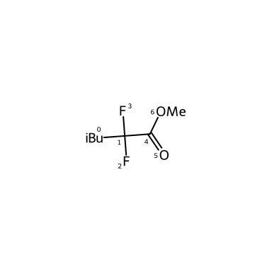 CCC(C)C(F)(F)C(=O)OC